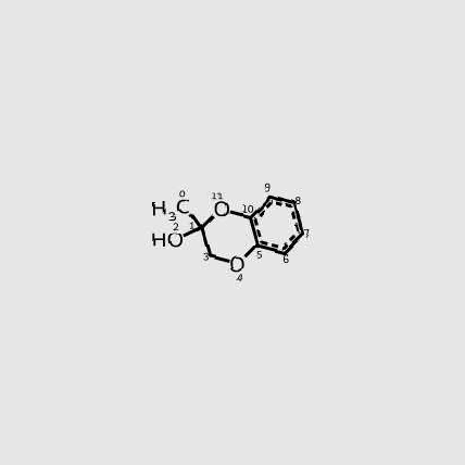 CC1(O)COc2ccccc2O1